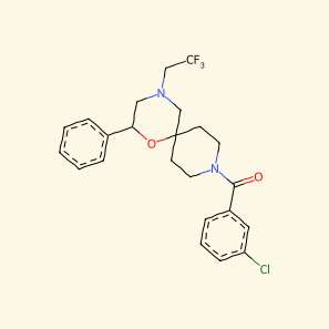 O=C(c1cccc(Cl)c1)N1CCC2(CC1)CN(CC(F)(F)F)CC(c1ccccc1)O2